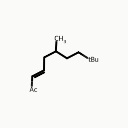 CC(=O)C=CCC(C)CCC(C)(C)C